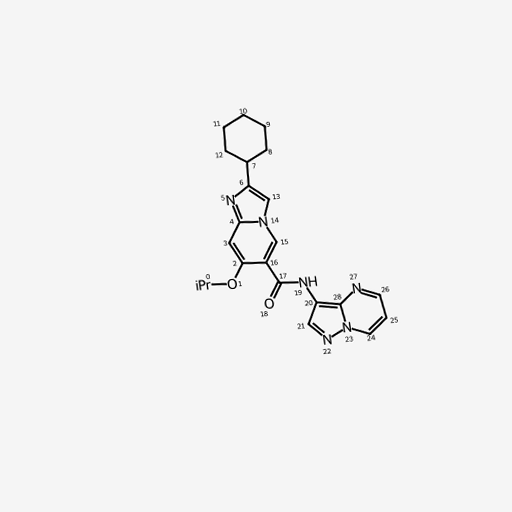 CC(C)Oc1cc2nc(C3CCCCC3)cn2cc1C(=O)Nc1cnn2cccnc12